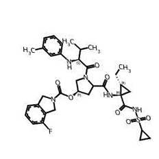 CC[C@@H]1C[C@]1(NC(=O)C1C[C@@H](OC(=O)N2Cc3cccc(F)c3C2)CN1C(=O)[C@@H](Nc1cccc(C)c1)C(C)C)C(=O)NS(=O)(=O)C1CC1